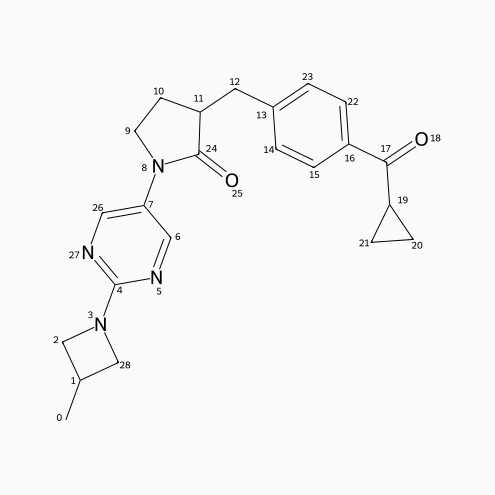 CC1CN(c2ncc(N3CCC(Cc4ccc(C(=O)C5CC5)cc4)C3=O)cn2)C1